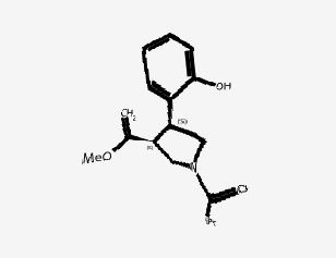 C=C(OC)[C@@H]1CN(C(=O)C(C)C)C[C@@H]1c1ccccc1O